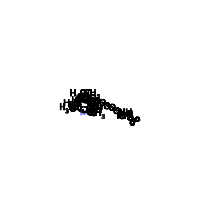 COc1cc2cc(c1Cl)N(C)C(=O)C[C@H](OC(=O)[C@H](C)N(C)C(=O)CCOCCOCCOCCOCCOCCOCCNC(=O)CNC(=O)OCC1c3ccccc3-c3ccccc31)[C@@]1(C)CC(C)(O1)[C@@H]1C[C@@](O)(NC(=O)O1)[C@H](OC)/C=C/C=C(\C)C2